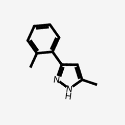 Cc1cc(-c2ccccc2C)n[nH]1